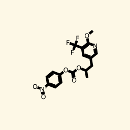 COc1ncc(CC(C)OC(=O)Oc2ccc([N+](=O)[O-])cc2)cc1C(F)(F)F